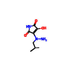 CC(C)CN(N)C1=C(O)C(=O)NC1=O